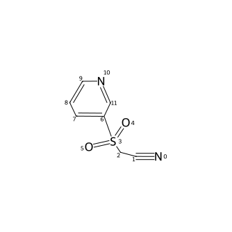 N#CCS(=O)(=O)c1cccnc1